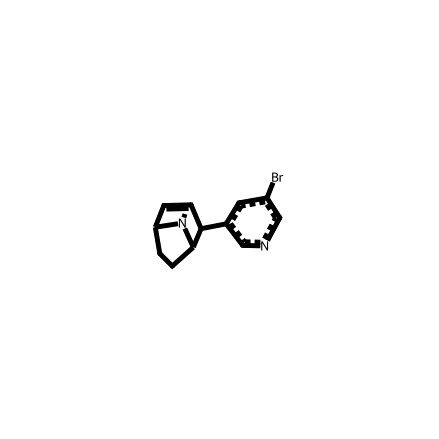 CN1C2C=CC(c3cncc(Br)c3)C1CC2